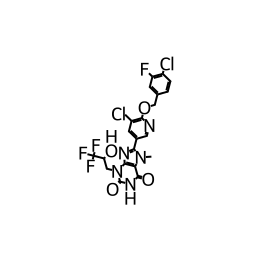 Cn1c(-c2cnc(OCc3ccc(Cl)c(F)c3)c(Cl)c2)nc2c1c(=O)[nH]c(=O)n2CC(O)C(F)(F)F